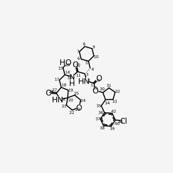 O=C(N[C@@H](CC1CCCCC1)C(=O)NC(CO)CC1CC2(CCOCC2)NC1=O)OC1CCCC1Cc1cccc(Cl)c1